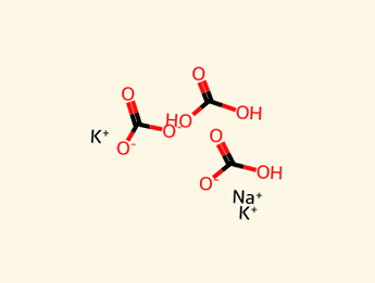 O=C(O)O.O=C([O-])O.O=C([O-])[O-].[K+].[K+].[Na+]